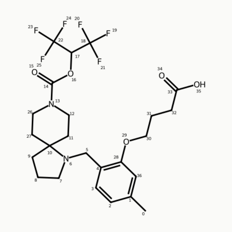 Cc1ccc(CN2CCCC23CCN(C(=O)OC(C(F)(F)F)C(F)(F)F)CC3)c(OCCCC(=O)O)c1